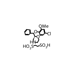 COc1cc(Cl)ccc1O[C@@H](c1ccccc1)[C@@H]1CNCCO1.O=S(=O)(O)CCS(=O)(=O)O